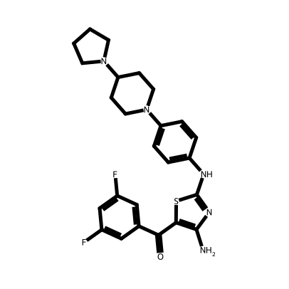 Nc1nc(Nc2ccc(N3CCC(N4CCCC4)CC3)cc2)sc1C(=O)c1cc(F)cc(F)c1